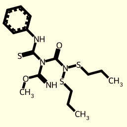 CCCSN(SCCC)C(=O)N(C(=N)OC)C(=S)Nc1ccccc1